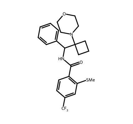 CSc1cc(C(F)(F)F)ccc1C(=O)NC(c1ccccc1)C1(N2CCOCC2)CCC1